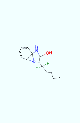 CCCCC(F)(F)C1C(O)NC23C=CC=CC2N13